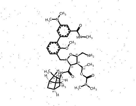 CNC(=O)c1cc(-c2cccc(CN3O[C@@H](CN)[C@@H]([C@H](C)OC(=O)N(C)C)[C@H]3C(=O)N[C@H]3C[C@H]4C[C@@H]([C@@H]3C)C4(C)C)c2OC)cc(N(C)C)c1